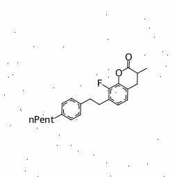 CCCCCc1ccc(CCc2ccc3c(c2F)OC(=O)C(C)C3)cc1